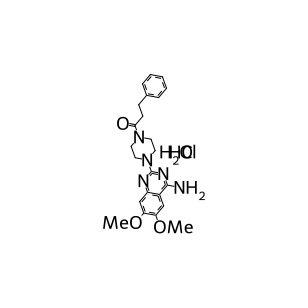 COc1cc2nc(N3CCN(C(=O)CCc4ccccc4)CC3)nc(N)c2cc1OC.Cl.O